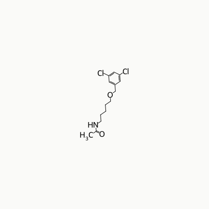 CC(=O)NCCCCCOCc1cc(Cl)cc(Cl)c1